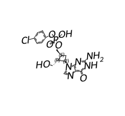 Nc1nc2c(ncn2[C@@H]2C[C@H](COP(=O)(O)Oc3ccc(Cl)cc3)[C@H]2CO)c(=O)[nH]1